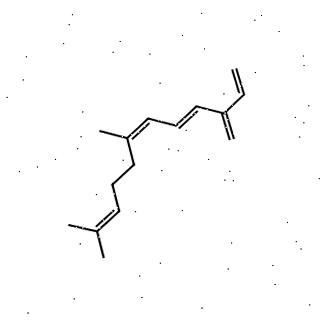 C=CC(=C)C=CC=C(C)CCC=C(C)C